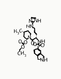 CCOC(=O)O[C@@H]1C[C@H](C)CCN1C(=O)[C@H](CCCNc1ncc[nH]1)NS(=O)(=O)c1ccc2c(c1)CNC2